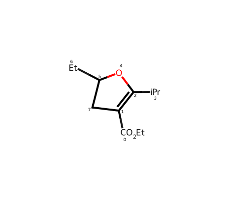 CCOC(=O)C1=C(C(C)C)OC(CC)C1